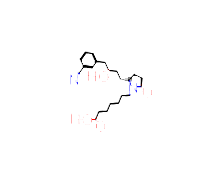 N#Cc1cccc(CC(O)CC[C@H]2CCC(=O)N2CCCCCCC(=O)O)c1